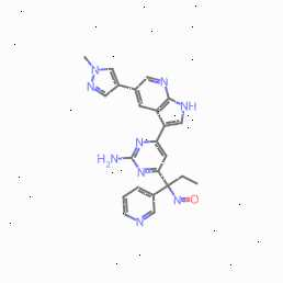 CCC(N=O)(c1cccnc1)c1cc(-c2c[nH]c3ncc(-c4cnn(C)c4)cc23)nc(N)n1